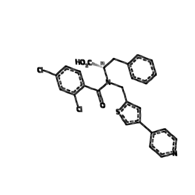 O=C(O)[C@H](Cc1ccccc1)N(Cc1cc(-c2ccncc2)cs1)C(=O)c1ccc(Cl)cc1Cl